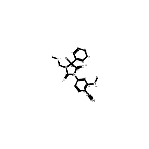 COCN1C(=O)N(c2ccc(C#N)c(OC)c2)C(=O)C1(C)C1=CC[CH]C=C1